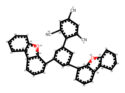 N#Cc1cc(C#N)c(-c2cc(-c3cccc4c3oc3ccccc34)cc(-c3cccc4c3oc3ccccc34)c2)c(C#N)c1